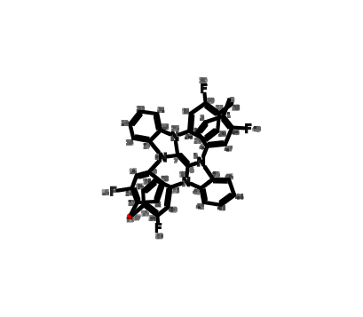 Cc1ccc(N2C(=C3N(c4ccc(C)c(F)c4)c4ccccc4N3c3ccc(C)c(F)c3)N(c3ccc(C)c(F)c3)c3ccccc32)cc1F